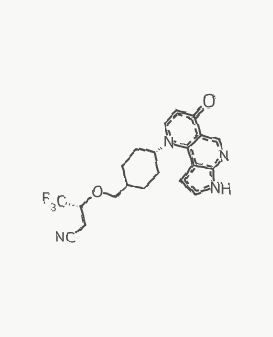 N#CC[C@@H](OC[C@H]1CC[C@H](n2ccc(=O)c3cnc4[nH]ccc4c32)CC1)C(F)(F)F